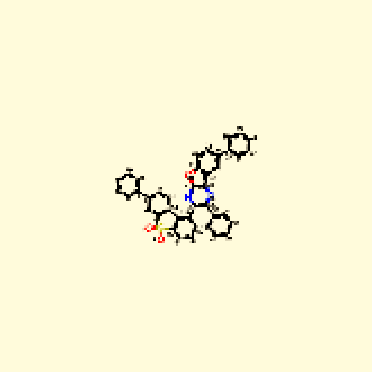 O=S1(=O)c2cc(-c3ccccc3)ccc2-c2c(-c3nc4oc5ccc(-c6ccccc6)cc5c4nc3-c3ccccc3)cccc21